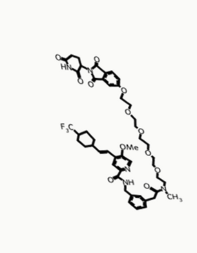 COc1cnc(C(=O)NCc2cccc(CC(=O)N(C)CCOCCOCCOCCOCCOc3ccc4c(c3)C(=O)N(C3CCC(=O)NC3=O)C4=O)c2)cc1C=CC1CCC(C(F)(F)F)CC1